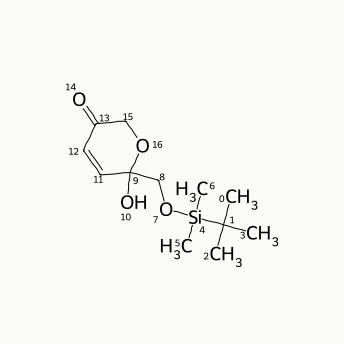 CC(C)(C)[Si](C)(C)OCC1(O)C=CC(=O)CO1